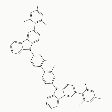 Cc1cc(C)c(-c2ccc3c(c2)c2ccccc2n3-c2ccc(-c3ccc(-n4c5ccccc5c5cc(-c6c(C)cc(C)cc6C)ccc54)cc3C)c(C)c2)c(C)c1